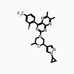 Cc1nc2nc(N3CC(C)OC(c4cnn(C5CC5)c4)C3)nc(-c3ccc(C(F)(F)F)cc3F)c2nc1C